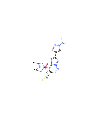 O=C([C@@H]1C[C@H]1F)N1C2CCC1CN(c1ccnn3cc(-c4cnn(C(F)F)c4)cc13)C2